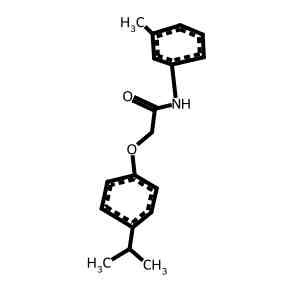 Cc1cccc(NC(=O)COc2ccc(C(C)C)cc2)c1